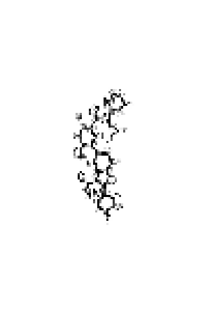 CNC(=O)c1c(-c2ccc(F)cc2)oc2ccc(-c3cc(C(=O)N(c4ccccn4)C4CC4)c(F)cc3Cl)cc12